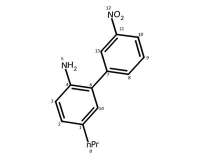 CCCc1ccc(N)c(-c2cccc([N+](=O)[O-])c2)c1